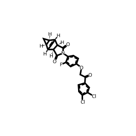 O=C(COc1ccc(N2C(=O)[C@@H]3[C@@H]4C=C[C@@H]([C@H]5C[C@@H]45)[C@@H]3C2=O)c(F)c1)c1ccc(Cl)c(Cl)c1